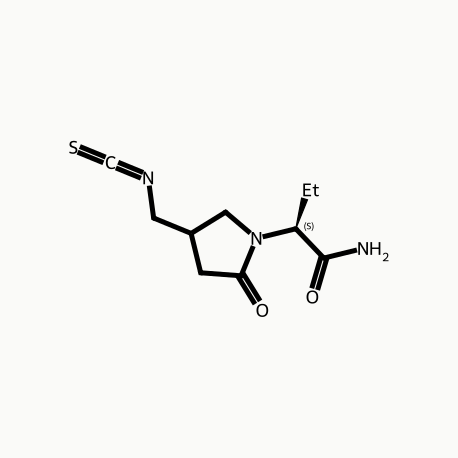 CC[C@@H](C(N)=O)N1CC(CN=C=S)CC1=O